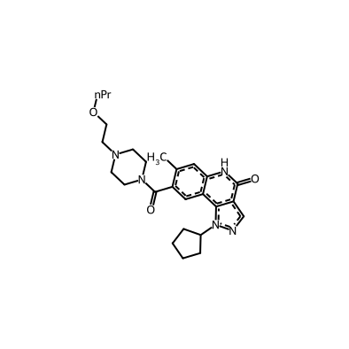 CCCOCCN1CCN(C(=O)c2cc3c(cc2C)[nH]c(=O)c2cnn(C4CCCC4)c23)CC1